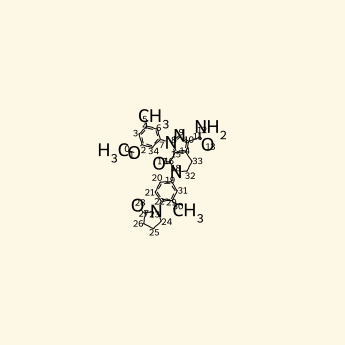 COc1cc(C)cc(-n2nc(C(N)=O)c3c2C(=O)N(c2ccc(N4CCCC4=O)c(C)c2)CC3)c1